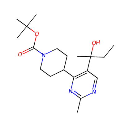 CCC(C)(O)c1cnc(C)nc1C1CCN(C(=O)OC(C)(C)C)CC1